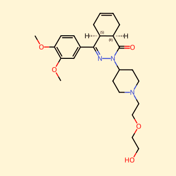 COc1ccc(C2=NN(C3CCN(CCOCCO)CC3)C(=O)[C@@H]3CC=CC[C@H]23)cc1OC